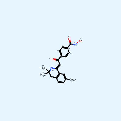 COc1ccc2c(c1)/C(=C/C(=O)c1ccc(C(=O)NO)cc1)NC(C)(C)C2